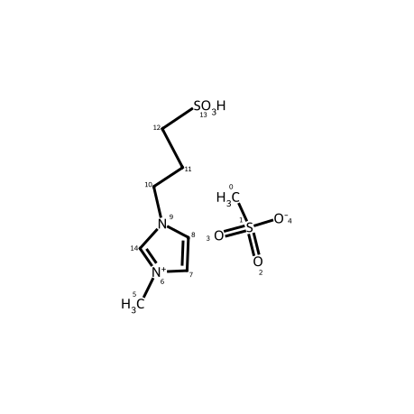 CS(=O)(=O)[O-].C[n+]1ccn(CCCS(=O)(=O)O)c1